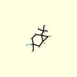 CC1(F)CCC2(C(C)(C)C)CC2C1